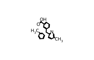 Cc1ccc(Cc2cccc(C(=O)O)c2)nc1.Cc1ccccc1